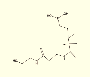 C=C(NCCC(=O)NCCS)C(C)(C)C(C)(C)CCP(O)O